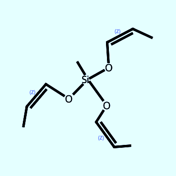 C/C=C\O[Si](C)(O/C=C\C)O/C=C\C